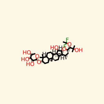 C[C@@H]1C[C@H]([C@H](OC(C)(F)F)C(C)(C)O)O[C@H]2[C@H]1[C@@]1(C)CC[C@@]34C[C@@]35CC[C@H](O[C@@H]3OC[C@@H](O)[C@H](O)[C@H]3O)C(C)(C)[C@@H]5CC[C@H]4[C@]1(C)[C@H]2O